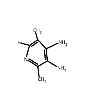 Cc1nc(F)c(C)c(N)c1N